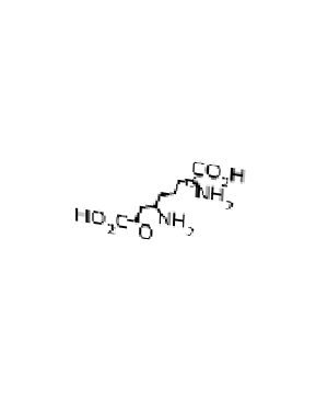 NC(CCC[C@H](N)C(=O)O)CC(=O)C(=O)O